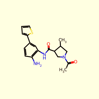 CC(=O)N1CC(C)C(C(=O)Nc2cc(-c3cccs3)ccc2N)C1